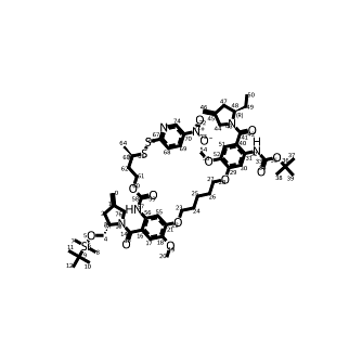 C=C1C[C@@H](CO[Si](C)(C)C(C)(C)C)N(C(=O)c2cc(OC)c(OCCCCCOc3cc(NC(=O)OC(C)(C)C)c(C(=O)N4CC(=C)C[C@H]4CC)cc3OC)cc2NC(=O)OCC[C@@H](C)SSc2ccc([N+](=O)[O-])cn2)C1